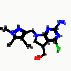 CCc1c(C)c(CN2CC(CO)c3c(Cl)nc(N)nc32)nn1C